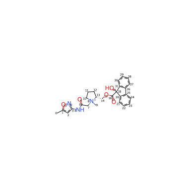 Cc1cc(NC(=O)C[N+]2(C)CCC[C@@H]2COC(=O)C2(O)c3ccccc3-c3ccccc32)no1